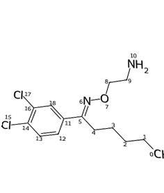 CCCCCC(=NOCCN)c1ccc(Cl)c(Cl)c1